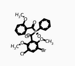 COc1cccc(Cl)c1C(=O)P(=O)(C(=O)c1c(OC)c(Cl)cc(Br)c1OC)c1ccccc1